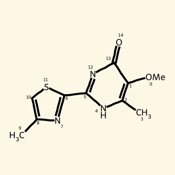 COc1c(C)[nH]c(-c2nc(C)cs2)nc1=O